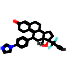 C#CC(F)(F)[C@]1(O)CCC2C3CCC4=CC(=O)CCC4=C3C(c3ccc(-n4ccnc4)cc3)C[C@@]21C